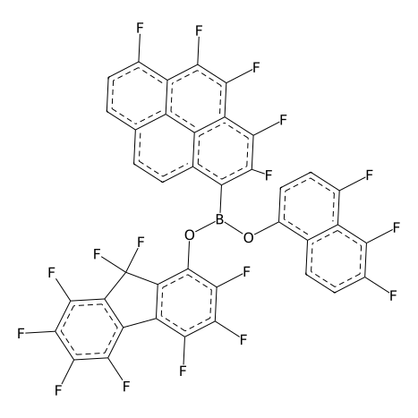 Fc1ccc2c(OB(Oc3c(F)c(F)c(F)c4c3C(F)(F)c3c(F)c(F)c(F)c(F)c3-4)c3c(F)c(F)c4c(F)c(F)c5c(F)ccc6ccc3c4c65)ccc(F)c2c1F